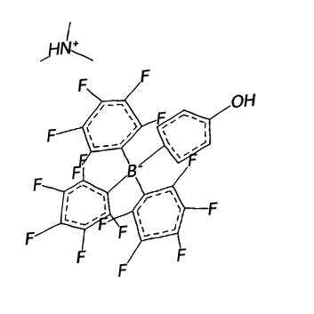 C[NH+](C)C.Oc1ccc([B-](c2c(F)c(F)c(F)c(F)c2F)(c2c(F)c(F)c(F)c(F)c2F)c2c(F)c(F)c(F)c(F)c2F)cc1